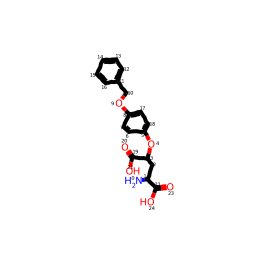 NC(CC(Oc1ccc(OCc2ccccc2)cc1)C(=O)O)C(=O)O